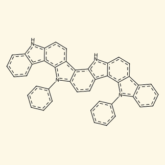 c1ccc(-n2c3ccccc3c3ccc4[nH]c5c(ccc6c5c5ccc7[nH]c8ccccc8c7c5n6-c5ccccc5)c4c32)cc1